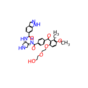 COc1ccc(OCCOCCO)c(C(=O)c2ccc(C(=O)N[C@@H]3CNC[C@@H]3NC(=O)c3ccc4cn[nH]c4c3)cc2)c1C